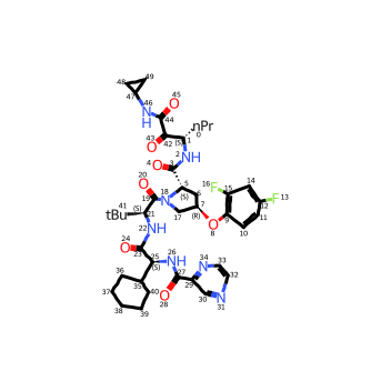 CCC[C@H](NC(=O)[C@@H]1C[C@@H](Oc2ccc(F)cc2F)CN1C(=O)[C@@H](NC(=O)[C@@H](NC(=O)c1cnccn1)C1CCCCC1)C(C)(C)C)C(=O)C(=O)NC1CC1